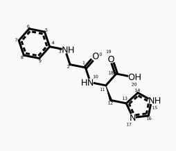 O=C(CNc1ccccc1)N[C@H](Cc1c[nH]cn1)C(=O)O